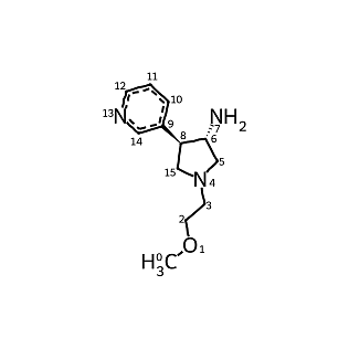 COCCN1C[C@@H](N)[C@H](c2cccnc2)C1